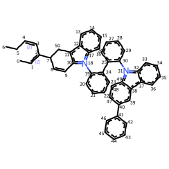 C/C=C(\C=C/CC)C1C=Cc2c(c3ccccc3n2-c2ccccc2-c2ccccc2-n2c3ccccc3c3cc(-c4ccccc4)ccc32)C1